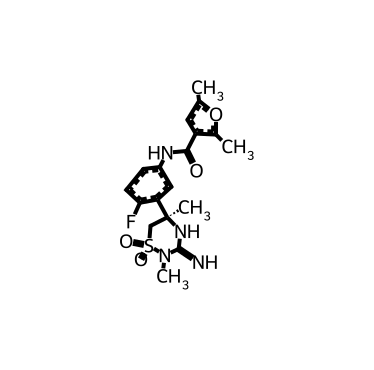 Cc1cc(C(=O)Nc2ccc(F)c([C@]3(C)CS(=O)(=O)N(C)C(=N)N3)c2)c(C)o1